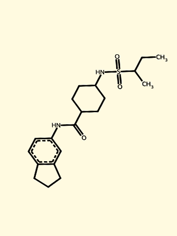 CCC(C)S(=O)(=O)NC1CCC(C(=O)Nc2ccc3c(c2)CCC3)CC1